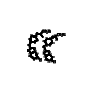 CCOC(=O)C(C)Oc1ccc(Oc2nc3ccc(Cl)cc3o2)cc1.CCOC(=O)C(C)Oc1ccc(Oc2nc3ccc(Cl)cc3o2)cc1